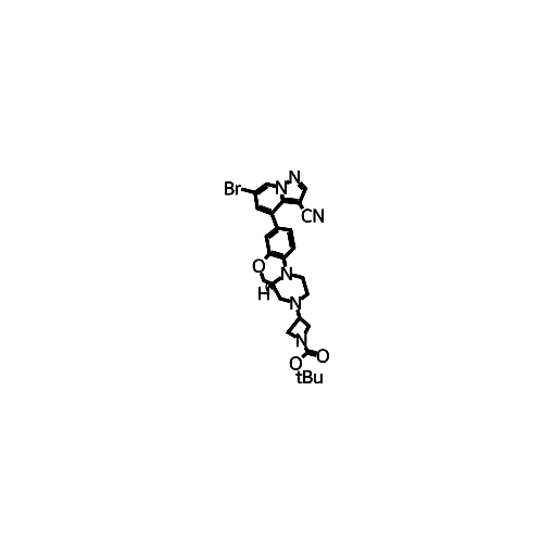 CC(C)(C)OC(=O)N1CC(N2CCN3c4ccc(-c5cc(Br)cn6ncc(C#N)c56)cc4OC[C@H]3C2)C1